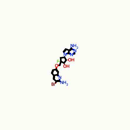 Nc1nc2cc(OC[C@@]3(F)C[C@@H](n4ccc5c(N)ncnc54)[C@H](O)[C@@H]3O)ccc2cc1Br